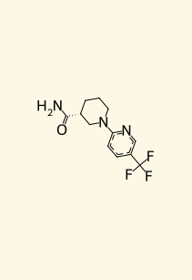 NC(=O)[C@@H]1CCCN(c2ccc(C(F)(F)F)cn2)C1